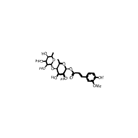 COc1cc(/C=C/C(=O)O[C@@H]2OC(C)[C@H](O[C@@H]3OC(C)[C@H](O)C(O)C3O)C(O)C2O)ccc1O